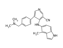 Cc1c(Nc2c(C#N)cncc2-c2ccc(CN(C)C)cc2)ccc2[nH]ccc12